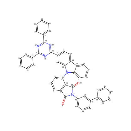 O=C1c2cccc(-n3c4ccccc4c4ccc(-c5nc(-c6ccccc6)nc(-c6ccccc6)n5)cc43)c2C(=O)N1c1cccc(-c2ccccc2)c1